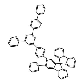 c1ccc(-c2ccc(-c3nc(-c4ccccc4)nc(-c4ccc(-c5cc6c(cc5-c5ccccc5)-c5ccccc5C65c6ccccc6-c6ccccc65)cc4)n3)cc2)cc1